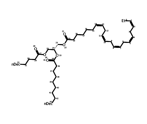 CC/C=C\C/C=C\C/C=C\C/C=C\C/C=C\CCCCCC(=O)OC[C@@H](COC(=O)CCCCCCCCCCCCC)OC(=O)CCCCCCCCCCCCCCCCC